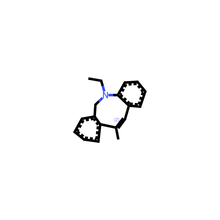 CCN1Cc2ccccc2/C(C)=C\c2ccccc21